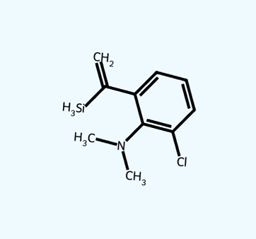 C=C([SiH3])c1cccc(Cl)c1N(C)C